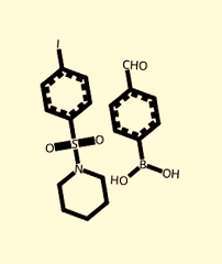 O=Cc1ccc(B(O)O)cc1.O=S(=O)(c1ccc(I)cc1)N1CCCCC1